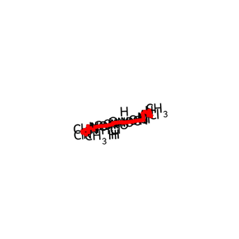 CN1Cc2c(Cl)cc(Cl)cc2[C@H](c2cccc(-c3nnn(CCOCCOCCOCCNC(=O)NCCCCNC(=O)NCCOCCOCCOCCn4nnc(-c5cccc([C@@H]6CN(C)Cc7c(Cl)cc(Cl)cc76)c5)n4)n3)c2)C1.Cl